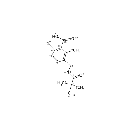 Cc1c(CNC(=O)C(C)(C)C)ccc(Cl)c1C(=O)O